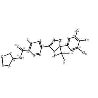 Cc1cc(C2=NOC(c3cc(Cl)c(F)c(Cl)c3)(C(F)(F)F)C2)ccc1C(=O)NC1CCOC1